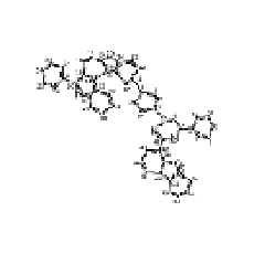 c1ccc(-c2cc(-c3ccc(-c4ccc5oc6ccc7c(-c8ccccc8)nc8ccccc8c7c6c5c4)cc3)nc(-c3cccc4c3oc3ccccc34)n2)cc1